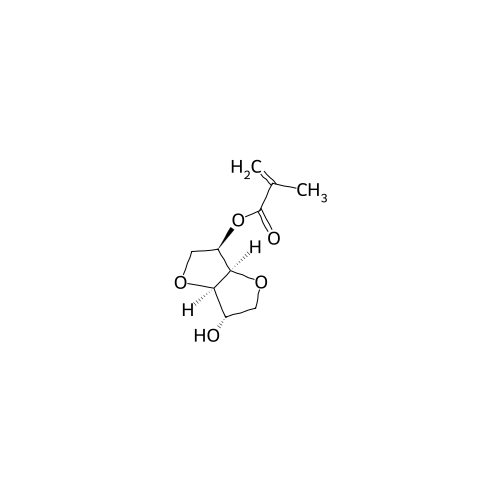 C=C(C)C(=O)O[C@@H]1CO[C@H]2[C@@H]1OC[C@@H]2O